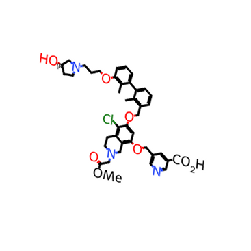 COC(=O)CN1CCc2c(Cl)c(OCc3cccc(-c4cccc(OCCCN5CC[C@@H](O)C5)c4C)c3C)cc(OCc3cncc(C(=O)O)c3)c2C1